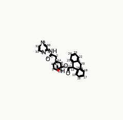 O=C(C[N+]12CCC(CC1)[C@@H](OC(=O)C1c3ccccc3Cc3ccccc31)C2)Nc1cnccn1